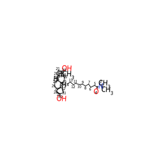 CN(C)C(=O)CCCCCCCCCC[C@H]1C[C@]2(C)[C@@H](O)CC[C@H]2[C@@H]2CCc3cc(O)ccc3[C@@H]12